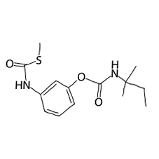 CCC(C)(C)NC(=O)Oc1cccc(NC(=O)SC)c1